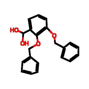 OC(O)c1cccc(OCc2ccccc2)c1OCc1ccccc1